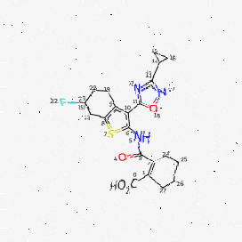 O=C(O)C1=C(C(=O)Nc2sc3c(c2-c2nc(C4CC4)no2)CC[C@H](F)C3)CCCC1